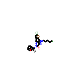 CC1(C)C2CCC(CNC(=O)c3nn(CCCCCCl)c4c3Cc3cc(Cl)sc3-4)C1C2